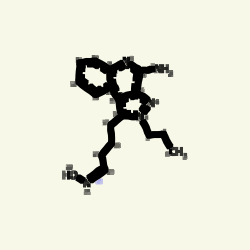 CCCn1nc2c(N)nc3ccccc3c2c1CCC/C=N\O